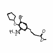 COC(=O)CCc1cc(N)c(OC2CCCC2)c(Br)c1